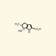 C[C@@H]1Cc2cc(C(=O)O)[nH]c2[C@@H]1O